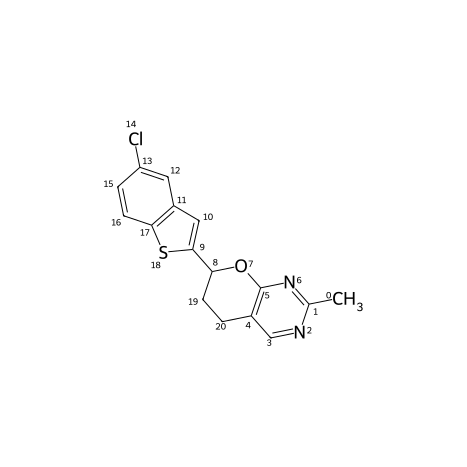 Cc1ncc2c(n1)OC(c1cc3cc(Cl)ccc3s1)CC2